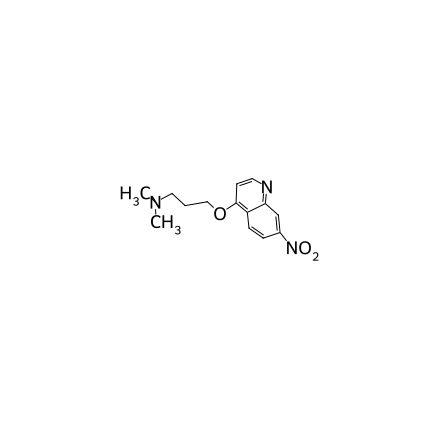 CN(C)CCCOc1ccnc2cc([N+](=O)[O-])ccc12